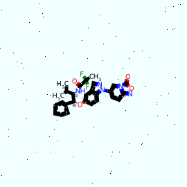 CC(C)[C@H](NC(=O)C(C)(F)F)[C@H](Oc1ccc2c(cnn2-c2ccc3noc(=O)n3c2)c1)c1ccccc1